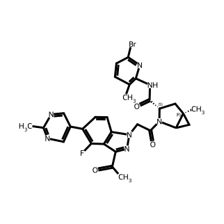 CC(=O)c1nn(CC(=O)N2C3C[C@]3(C)C[C@H]2C(=O)Nc2nc(Br)ccc2C)c2ccc(-c3cnc(C)nc3)c(F)c12